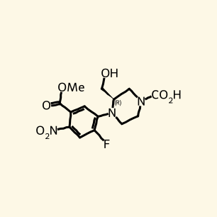 COC(=O)c1cc(N2CCN(C(=O)O)C[C@@H]2CO)c(F)cc1[N+](=O)[O-]